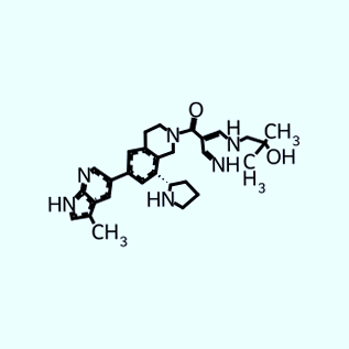 Cc1c[nH]c2ncc(-c3cc4c(c([C@@H]5CCCN5)c3)CN(C(=O)/C(C=N)=C/NCC(C)(C)O)CC4)cc12